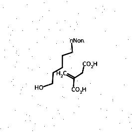 C=C(CC(=O)O)C(=O)O.CCCCCCCCCCCCCCO